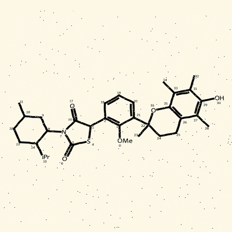 COc1c(C2SC(=O)N(C3CC(C)CCC3C(C)C)C2=O)cccc1C1(C)CCc2c(C)c(O)c(C)c(C)c2O1